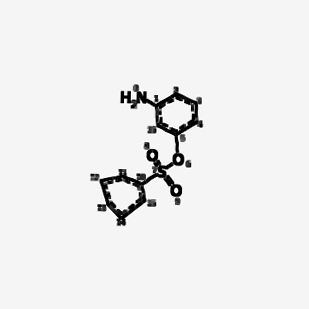 Nc1cccc(OS(=O)(=O)c2ccccc2)c1